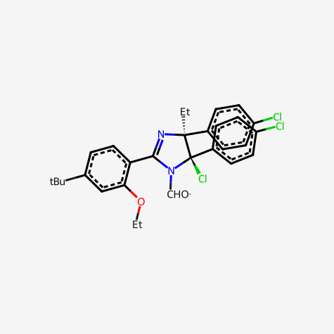 CCOc1cc(C(C)(C)C)ccc1C1=N[C@@](CC)(c2ccc(Cl)cc2)[C@](Cl)(c2ccc(Cl)cc2)N1[C]=O